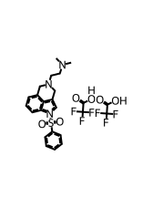 CN(C)CCN1Cc2cccc3c2c(cn3S(=O)(=O)c2ccccc2)C1.O=C(O)C(F)(F)F.O=C(O)C(F)(F)F